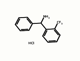 Cl.NC(c1ccccc1)c1ccccc1C(F)(F)F